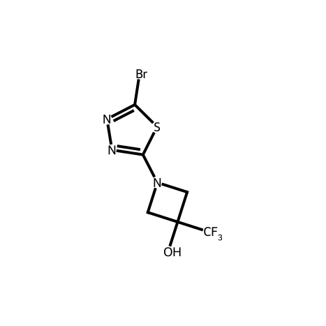 OC1(C(F)(F)F)CN(c2nnc(Br)s2)C1